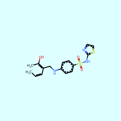 C/C=C\C(CNc1ccc(S(=O)(=O)Nc2nccs2)cc1)=C(/C)O